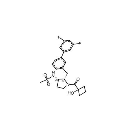 CS(=O)(=O)N[C@H]1CCN(C(=O)C2(O)CCC2)[C@H]1Cc1cccc(-c2cc(F)cc(F)c2)c1